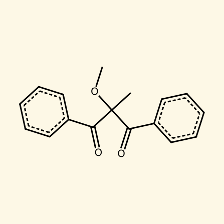 COC(C)(C(=O)c1ccccc1)C(=O)c1ccccc1